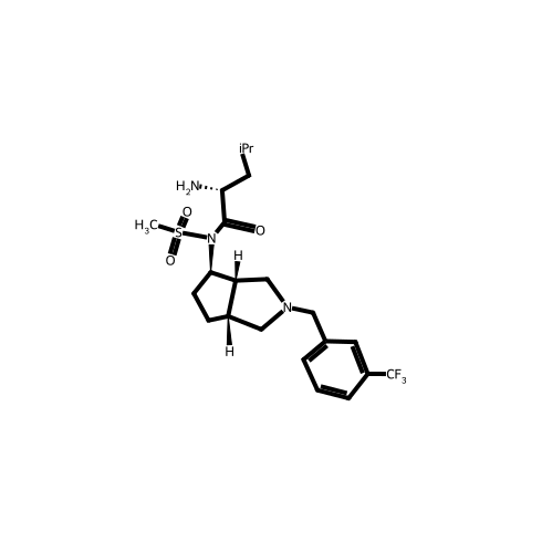 CC(C)C[C@@H](N)C(=O)N([C@@H]1CC[C@H]2CN(Cc3cccc(C(F)(F)F)c3)C[C@H]21)S(C)(=O)=O